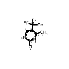 Cc1nc(Cl)ncc1C(F)(F)F